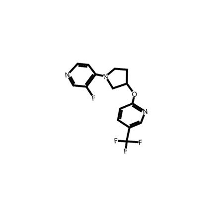 Fc1cnccc1N1CCC(Oc2ccc(C(F)(F)F)cn2)C1